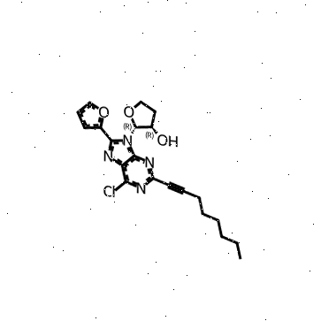 CCCCCCC#Cc1nc(Cl)c2nc(-c3ccco3)n([C@@H]3OCC[C@H]3O)c2n1